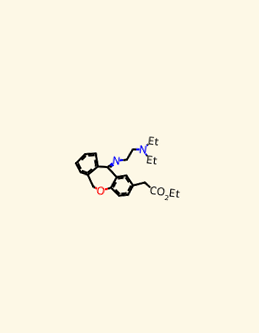 CCOC(=O)Cc1ccc2c(c1)C(=NCCN(CC)CC)c1ccccc1CO2